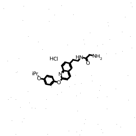 CC(C)Oc1ccc(Oc2ccc3cc(CCNC(=O)CN)ccc3n2)cc1.Cl